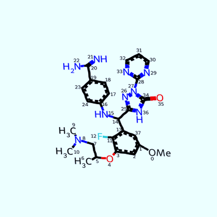 COc1cc(OC(C)CN(C)C)c(F)c(C(Nc2ccc(C(=N)N)cc2)c2nn(-c3ncccn3)c(=O)[nH]2)c1